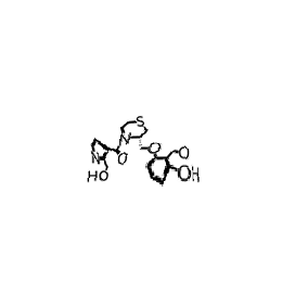 O=Cc1c(O)cccc1OC[C@H]1CSCCN1C(=O)c1cccnc1CO